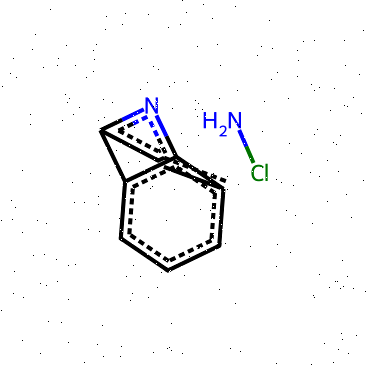 NCl.c1cc2c3nc-2ccc3c1